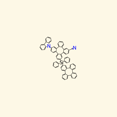 N#Cc1ccc2c(c1)-c1ccccc1-c1cc(-n3c4ccccc4c4ccccc43)ccc1-c1ccc([Si](c3ccccc3)(c3ccccc3)c3ccc4c(c3)-c3ccccc3-c3ccccc3-c3ccccc3-4)cc1-2